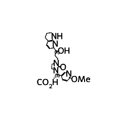 COc1ccc([C@H](CC(=O)O)N2CCN(CC[C@@H](O)c3ccc4c(n3)NCCC4)C2=O)cn1